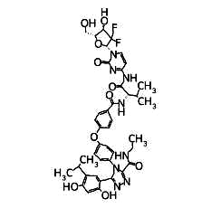 CCNC(=O)c1nnc(-c2cc(C(C)C)c(O)cc2O)n1-c1ccc(Oc2ccc(C(=O)N[C@H](C(=O)Nc3ccn([C@@H]4O[C@H](CO)[C@@H](O)C4(F)F)c(=O)n3)C(C)C)cc2)cc1